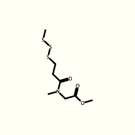 COC(=O)CN(C)C(=O)CCSSSC